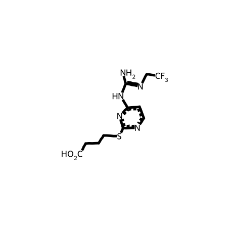 NC(=NCC(F)(F)F)Nc1ccnc(SCCCC(=O)O)n1